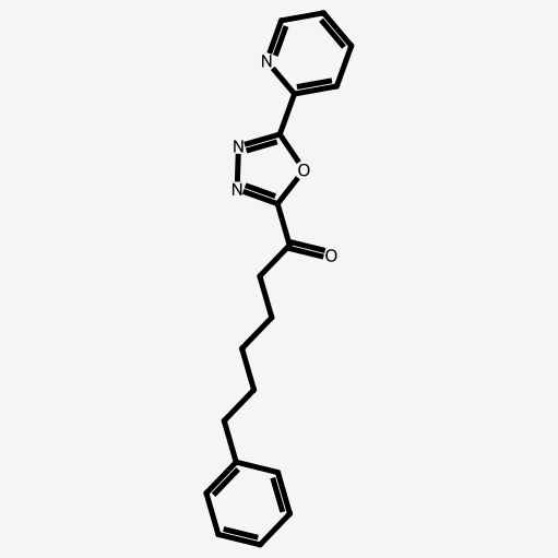 O=C(CCCCCc1ccccc1)c1nnc(-c2ccccn2)o1